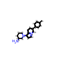 Cc1ccc(-c2ccc3c(N4CCCC(N)C4)ccn3c2)cc1